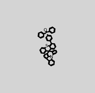 O=P(c1ccccc1)(c1ccccc1)c1ccc(-c2cccc3c2Sc2ccccc2C32c3ccccc3-n3c4ccccc4c4cccc2c43)cc1